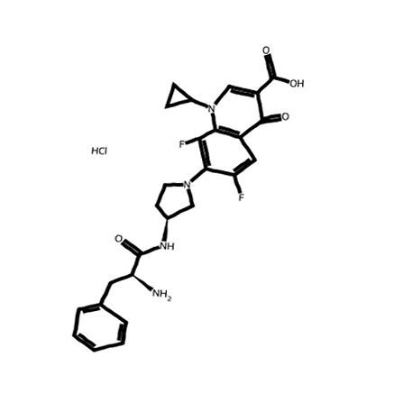 Cl.N[C@@H](Cc1ccccc1)C(=O)N[C@H]1CCN(c2c(F)cc3c(=O)c(C(=O)O)cn(C4CC4)c3c2F)C1